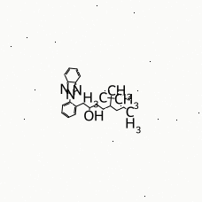 CCCC(CCC(O)Cc1ccccc1-n1nc2ccccc2n1)C(C)(C)C